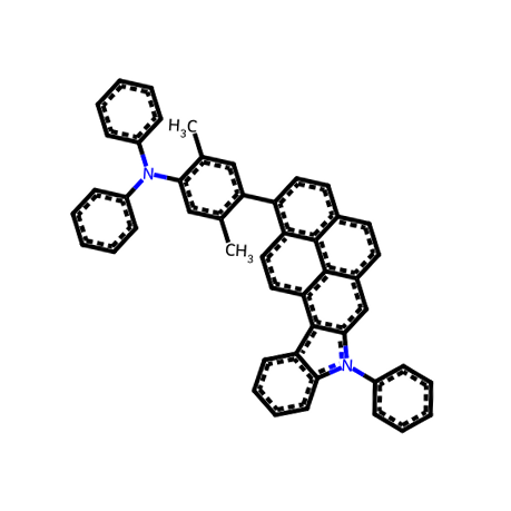 Cc1cc(N(c2ccccc2)c2ccccc2)c(C)cc1-c1ccc2ccc3cc4c(c5ccc1c2c35)c1ccccc1n4-c1ccccc1